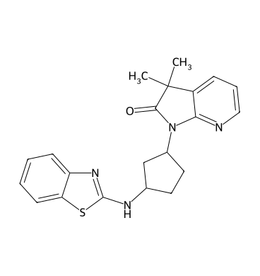 CC1(C)C(=O)N(C2CCC(Nc3nc4ccccc4s3)C2)c2ncccc21